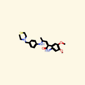 COc1cc2c(cc1OC)C(=CC(C)Nc1ccc(CN3CCSCC3)cc1)C(=O)N2